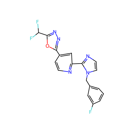 Fc1cccc(Cn2ccnc2-c2cc(-c3nnc(C(F)F)o3)ccn2)c1